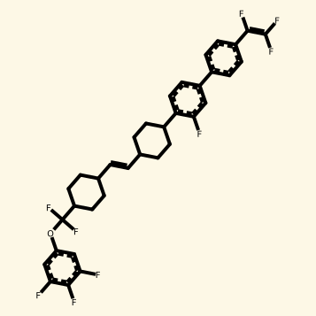 FC(F)=C(F)c1ccc(-c2ccc(C3CCC(/C=C/C4CCC(C(F)(F)Oc5cc(F)c(F)c(F)c5)CC4)CC3)c(F)c2)cc1